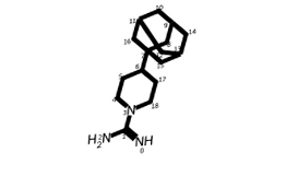 N=C(N)N1CCC(C23CC4CC(CC(C4)C2)C3)CC1